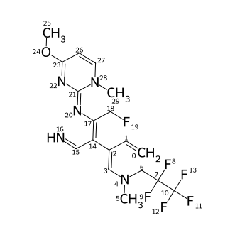 C=CC(=C\N(C)CC(F)(F)C(F)(F)F)/C(C=N)=C(CF)/N=c1/nc(OC)ccn1C